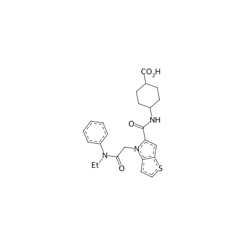 CCN(C(=O)Cn1c(C(=O)NC2CCC(C(=O)O)CC2)cc2sccc21)c1ccccc1